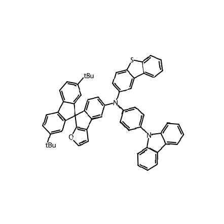 CC(C)(C)c1ccc2c(c1)C1(c3cc(C(C)(C)C)ccc3-2)c2ccc(N(c3ccc(-n4c5ccccc5c5ccccc54)cc3)c3ccc4sc5ccccc5c4c3)cc2-c2ccoc21